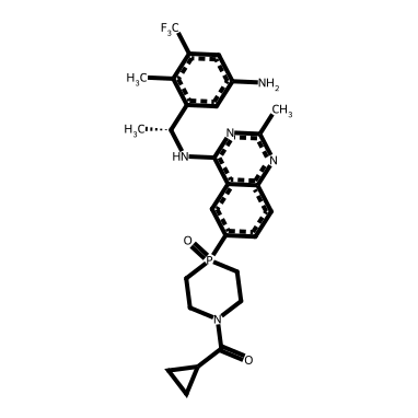 Cc1nc(N[C@H](C)c2cc(N)cc(C(F)(F)F)c2C)c2cc(P3(=O)CCN(C(=O)C4CC4)CC3)ccc2n1